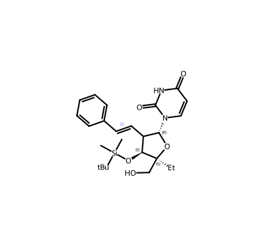 CC[C@@]1(CO)O[C@@H](n2ccc(=O)[nH]c2=O)C(/C=C/c2ccccc2)[C@@H]1O[Si](C)(C)C(C)(C)C